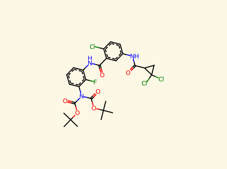 CC(C)(C)OC(=O)N(C(=O)OC(C)(C)C)c1cccc(NC(=O)c2cc(NC(=O)C3CC3(Cl)Cl)ccc2Cl)c1F